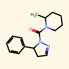 CC1CCCCN1C(=O)N1N=CCC1c1ccccc1